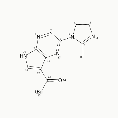 CC1=NCCN1c1cnc2[nH]cc(C(=O)C(C)(C)C)c2n1